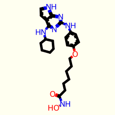 O=C(CCCCCCOc1ccc(Nc2nc(NC3CCCCC3)c3cc[nH]c3n2)cc1)NO